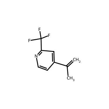 C=C(C)c1ccnc(C(F)(F)F)c1